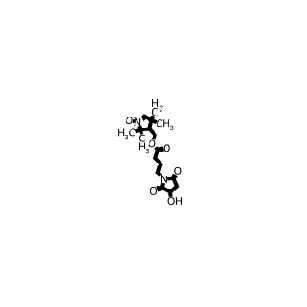 CC1(C)C=[N+]([O-])C(C)(C)C1COC(=O)CCCN1C(=O)CC(O)C1=O